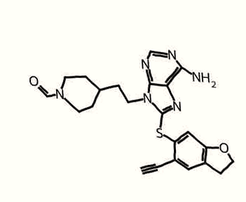 C#Cc1cc2c(cc1Sc1nc3c(N)ncnc3n1CCC1CCN(C=O)CC1)OCC2